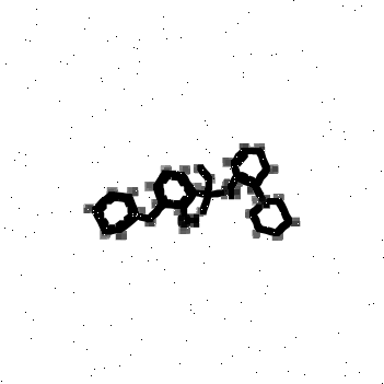 CCC(C)(PC1=C(N2CCCCC2)CCC=C1)c1cccc(Cc2ccccc2)c1O